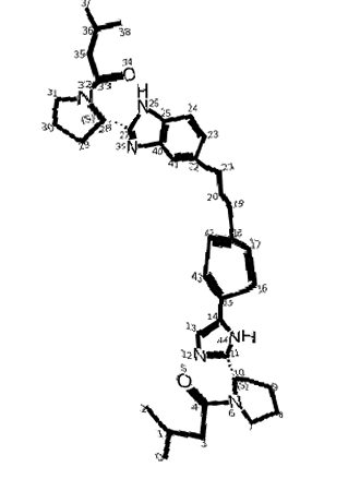 CC(C)CC(=O)N1CCC[C@H]1c1ncc(-c2ccc(CCCc3ccc4[nH]c([C@@H]5CCCN5C(=O)CC(C)C)nc4c3)cc2)[nH]1